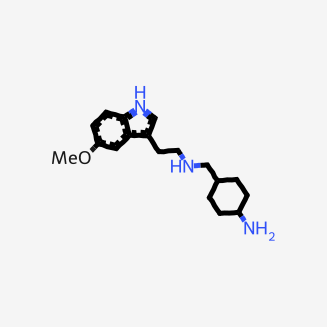 COc1ccc2[nH]cc(CCNCC3CCC(N)CC3)c2c1